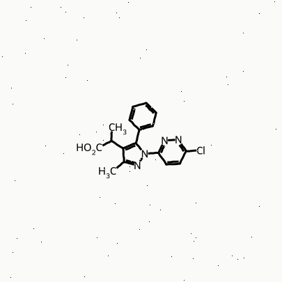 Cc1nn(-c2ccc(Cl)nn2)c(-c2ccccc2)c1C(C)C(=O)O